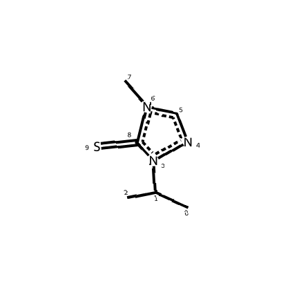 CC(C)n1ncn(C)c1=S